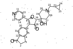 O=C1CCc2cc(C3=C(c4ccncc4)OC(C4(O)CCN(CC5CC5)CC4)C3=O)ccc21